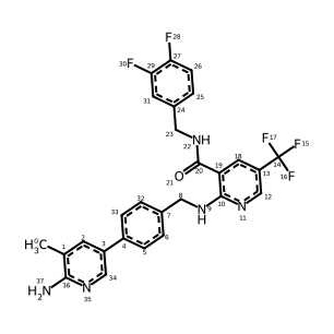 Cc1cc(-c2ccc(CNc3ncc(C(F)(F)F)cc3C(=O)NCc3ccc(F)c(F)c3)cc2)cnc1N